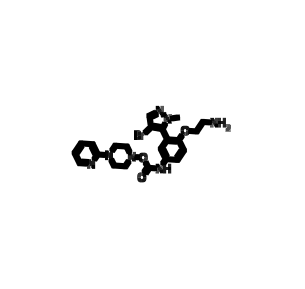 Cn1ncc(Br)c1-c1cc(NC(=O)ON2CCN(c3ccccn3)CC2)ccc1OCCN